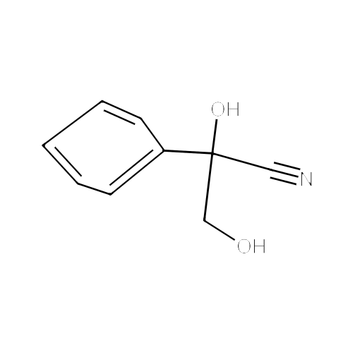 N#CC(O)(CO)c1ccccc1